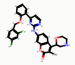 CC(=O)c1c(C2CNCCO2)c2ccc(Nc3nccc(-c4ccccc4OCc4ccc(F)cc4F)n3)cc2oc1=O